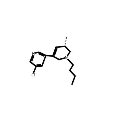 CCCCN1CC(c2cncc(Cl)c2)=C[C@H](C)C1